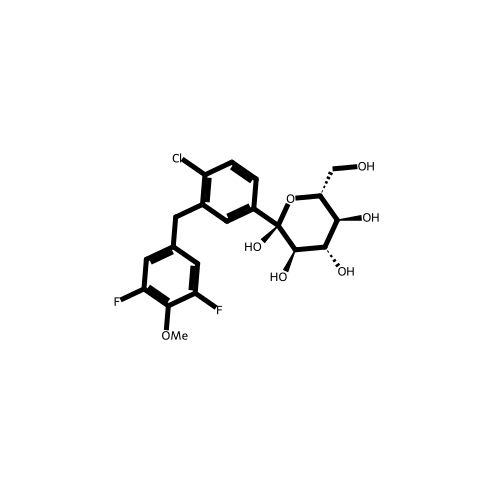 COc1c(F)cc(Cc2cc([C@]3(O)O[C@H](CO)[C@@H](O)[C@H](O)[C@H]3O)ccc2Cl)cc1F